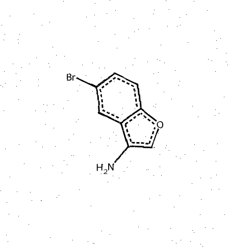 Nc1[c]oc2ccc(Br)cc12